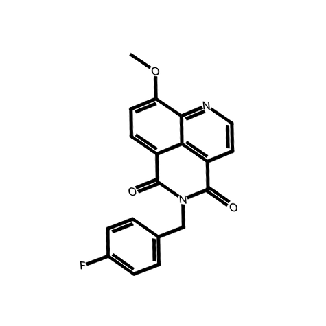 COc1ccc2c3c(ccnc13)C(=O)N(Cc1ccc(F)cc1)C2=O